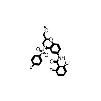 COCC1CN(S(=O)(=O)c2ccc(F)cc2)c2cc(NC(=O)c3c(F)cccc3Cl)ccc2O1